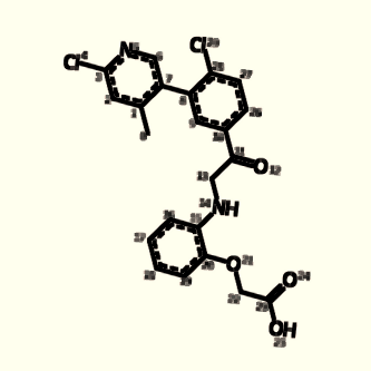 Cc1cc(Cl)ncc1-c1cc(C(=O)CNc2ccccc2OCC(=O)O)ccc1Cl